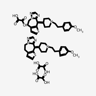 COc1ccc(CCN2CCC(=C3c4sccc4CCn4ncnc43)CC2)cc1.COc1ccc(CCN2CCC(=C3c4sccc4CCn4ncnc43)CC2)cc1.O=C(O)C(=O)O.O=C(O)C(=O)O.O=C(O)C(=O)O